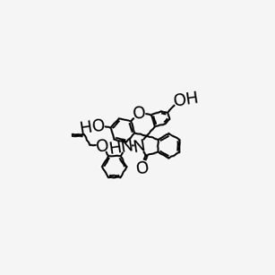 C=CCOc1ccccc1NN1C(=O)c2ccccc2C12c1ccc(O)cc1Oc1cc(O)ccc12